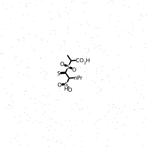 CCCC(C(=S)S(=O)(=O)C(C)C(=O)O)[SH](=O)=O